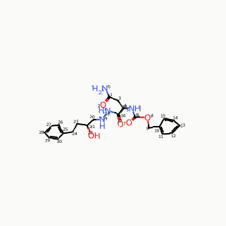 NC(=O)C[C@@H](NC(=O)OCc1ccccc1)C(=O)NNCC(O)CCc1ccccc1